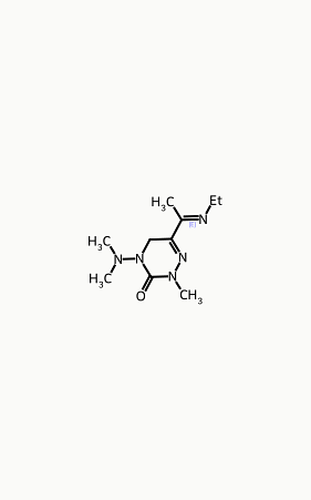 CC/N=C(\C)C1=NN(C)C(=O)N(N(C)C)C1